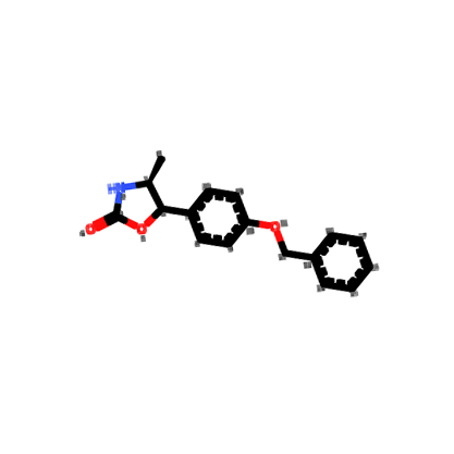 C[C@@H]1NC(=O)OC1c1ccc(OCc2ccccc2)cc1